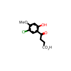 COc1cc(O)c(C(=O)CCC(=O)O)cc1Cl